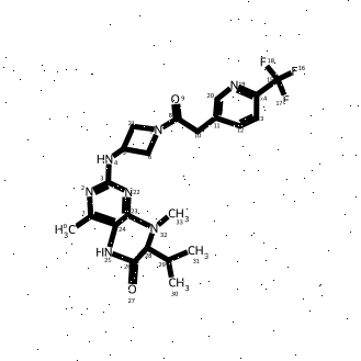 Cc1nc(NC2CN(C(=O)Cc3ccc(C(F)(F)F)nc3)C2)nc2c1NC(=O)C(C(C)C)N2C